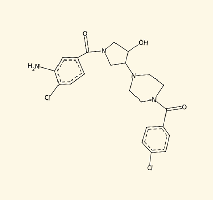 Nc1cc(C(=O)N2CC(O)C(N3CCN(C(=O)c4ccc(Cl)cc4)CC3)C2)ccc1Cl